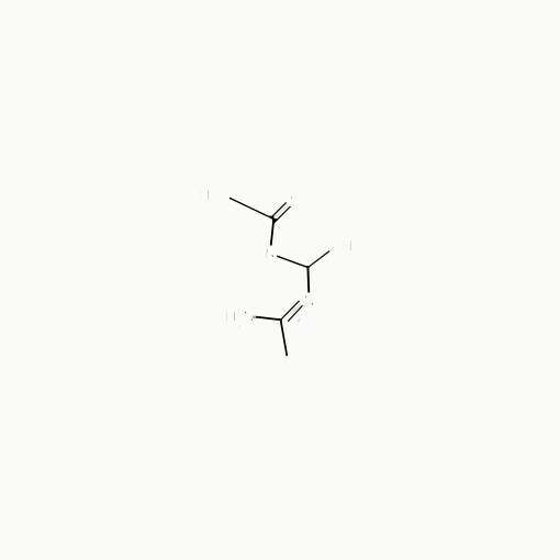 C=C(C)NC(C)/N=C(\N)S